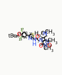 CN(C)Cc1cn(CC(=O)Nc2nc(-c3cc(F)c(OCC(C)(C)C)c(F)c3)cs2)c2c(=O)n(C)c(=O)n(C)c12